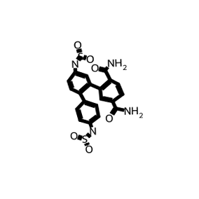 NC(=O)c1ccc(C(N)=O)c(-c2cc(N=S(=O)=O)ccc2-c2ccc(N=S(=O)=O)cc2)c1